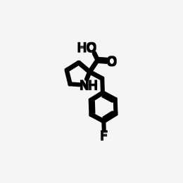 O=C(O)C1(Cc2ccc(F)cc2)CCCN1